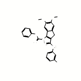 COc1cc2c(cc1OC)-c1c(c(Nc3cccc(F)c3)nn1C(=O)Oc1ccccc1)C2